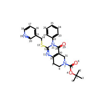 CC(C)(C)OC(=O)N1CCc2nc(SCc3cccnc3)n(-c3ccccc3)c(=O)c2C1